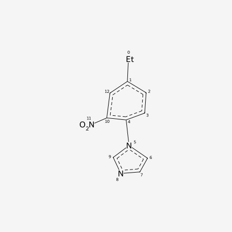 CCc1ccc(-n2ccnc2)c([N+](=O)[O-])c1